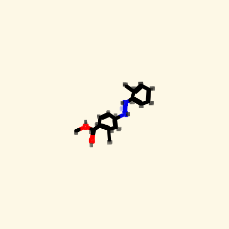 COC(=O)c1ccc(/N=N/c2ccccc2C)cc1C